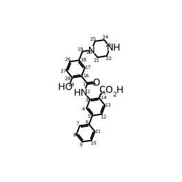 O=C(Nc1cc(-c2ccccc2)ccc1C(=O)O)c1cc(CN2CCNCC2)ccc1O